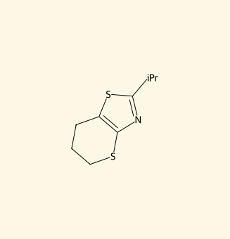 CC(C)c1nc2c(s1)CCCS2